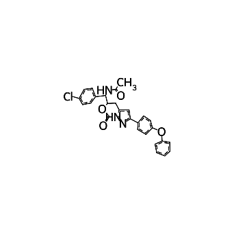 CC(=O)NC(c1ccc(Cl)cc1)C(Cc1cc(-c2ccc(Oc3ccccc3)cc2)n[nH]1)OC=O